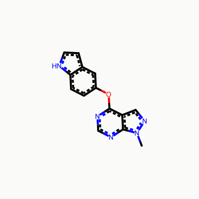 Cn1ncc2c(Oc3ccc4[nH]ccc4c3)ncnc21